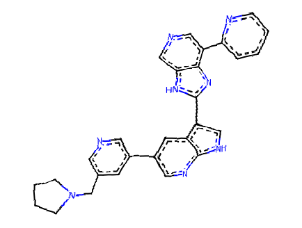 c1ccc(-c2cncc3[nH]c(-c4c[nH]c5ncc(-c6cncc(CN7CCCC7)c6)cc45)nc23)nc1